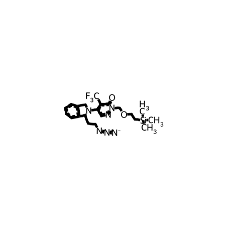 C[Si](C)(C)CCOCn1ncc(N2Cc3ccccc3C2CCN=[N+]=[N-])c(C(F)(F)F)c1=O